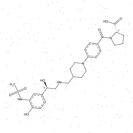 CS(=O)(=O)Nc1cc([C@@H](O)CNCC2CCN(c3ccc(C(=O)N4CCC[C@H]4C(=O)O)cc3)CC2)ccc1O